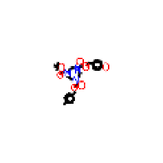 COc1ccc(COC(=O)N2CCN(C(=O)OCc3ccc(C)cc3)CCN(C(=O)OC(C)(C)C)CC2)cc1